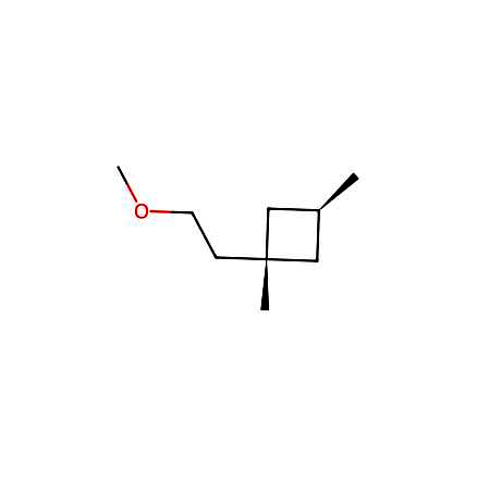 COCC[C@]1(C)C[C@@H](C)C1